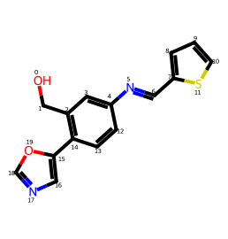 OCc1cc(/N=C/c2cccs2)ccc1-c1cnco1